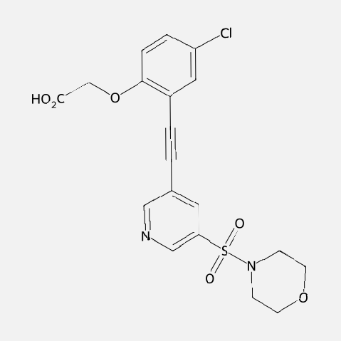 O=C(O)COc1ccc(Cl)cc1C#Cc1cncc(S(=O)(=O)N2CCOCC2)c1